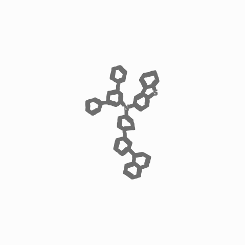 c1ccc(-c2cc(-c3ccccc3)cc(N(c3ccc(-c4cccc(-c5cccc6ccccc56)c4)cc3)c3ccc4sc5ccccc5c4c3)c2)cc1